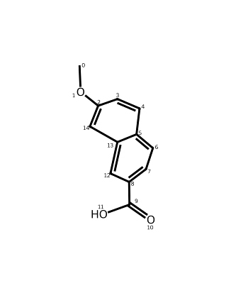 COc1ccc2ccc(C(=O)O)cc2c1